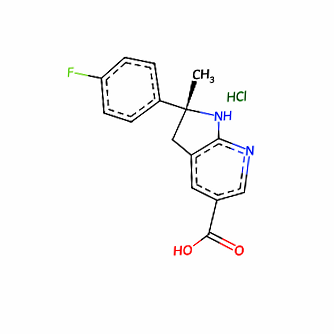 C[C@]1(c2ccc(F)cc2)Cc2cc(C(=O)O)cnc2N1.Cl